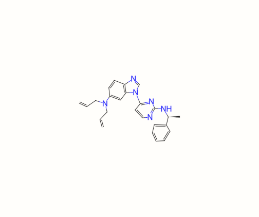 C=CCN(CC=C)c1ccc2ncn(-c3ccnc(N[C@@H](C)c4ccccc4)n3)c2c1